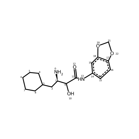 N[C@H](CC1CCCCC1)C(O)C(=O)Nc1ccc2c(c1)OCO2